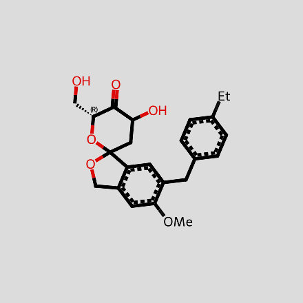 CCc1ccc(Cc2cc3c(cc2OC)COC32CC(O)C(=O)[C@@H](CO)O2)cc1